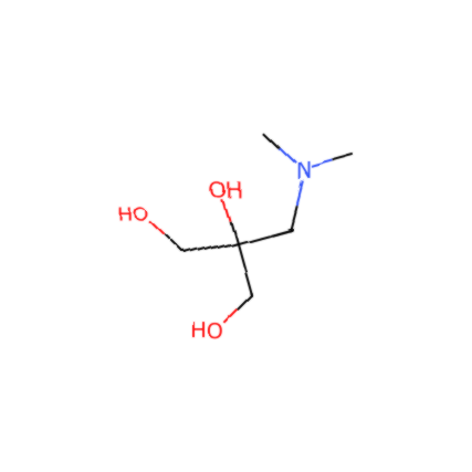 CN(C)CC(O)(CO)CO